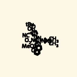 COC(=O)C1(Cc2nc(N3CC(N(C)C)C3)nc(N3CCN(C(=O)OC(C)(C)C)[C@@H](CC#N)C3)c2[N+](=O)[O-])CCCc2ccccc21